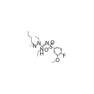 CCC/C=N\N(CC)/C(=N/S(=O)(=O)c1ccc(F)c(OC)c1)NCC